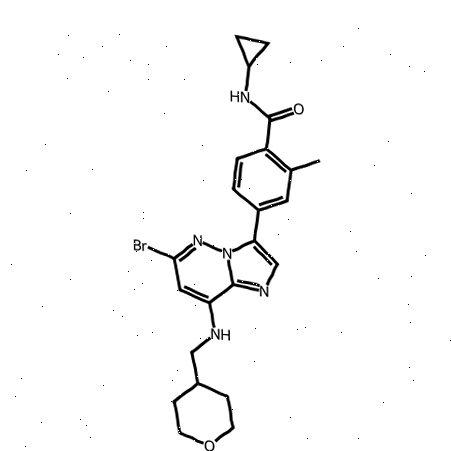 Cc1cc(-c2cnc3c(NCC4CCOCC4)cc(Br)nn23)ccc1C(=O)NC1CC1